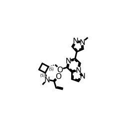 C=CC(=O)N(C)[C@H]1CC[C@@H]1COc1nc(-c2cnn(C)c2)cn2nccc12